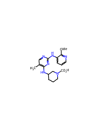 COc1ncccc1Nc1ncc(C)c(NC2CCCN(C(=O)O)C2)n1